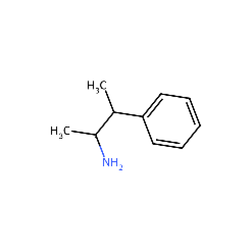 C[C](N)C(C)c1ccccc1